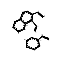 C=Cc1ccc2ccccc2c1C=C.C=Cc1ccccc1